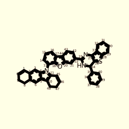 C1=Cc2cc3c(cc2CC1)c1c(n3-c2cccc3c2oc2cc(C4=Nc5c(sc6ccccc56)C(c5ccccc5)N4)ccc23)C=CCC1